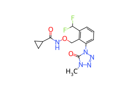 Cn1nnn(-c2cccc(C(F)F)c2CONC(=O)C2CC2)c1=O